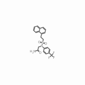 NC(=O)CN(c1ccc(C(F)(F)F)cc1)S(=O)(=O)CCc1cccc2ccccc12